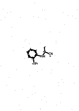 CCCc1[c]cccc1NC(C)C#N